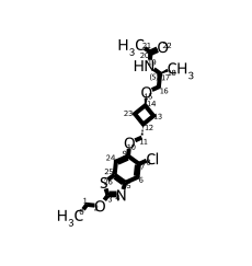 CCOc1nc2cc(Cl)c(OC[C@H]3C[C@H](OC[C@H](C)NC(C)=O)C3)cc2s1